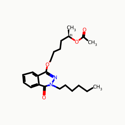 CCCCCCn1nc(OCCCC[C@@H](C)OC(C)=O)c2ccccc2c1=O